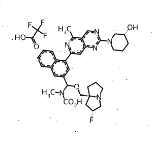 Cc1nc(-c2cc(C(OC[C@@]34CCCN3C[C@H](F)C4)N(C)C(=O)O)cc3ccccc23)cc2nc(N3CCC[C@@H](O)C3)ncc12.O=C(O)C(F)(F)F